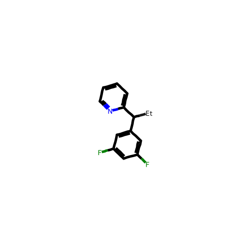 [CH2]CC(c1cc(F)cc(F)c1)c1ccccn1